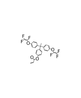 C=CC(=O)Oc1ccc(C(C)(c2ccc(OC(F)=C(F)F)cc2)c2ccc(OC(F)=C(F)F)cc2)cc1